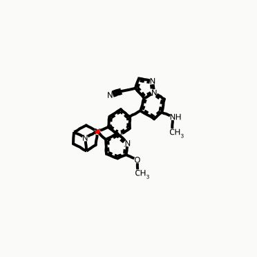 CNc1cc(-c2ccc(N3CC4CC(C3)N4Cc3ccc(OC)nc3)nc2)c2c(C#N)cnn2c1